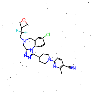 Cc1nc(N2CCC(c3nnc4n3-c3ccc(Cl)cc3CN(CC(F)(F)C3COC3)C4)CC2)ccc1C#N